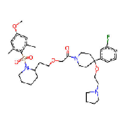 COc1cc(C)c(S(=O)(=O)N2CCCCC2CCOCC(=O)N2CCC(OCCN3CCCC3)(c3cccc(F)c3)CC2)c(C)c1